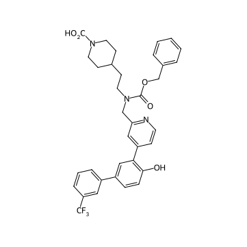 O=C(O)N1CCC(CCN(Cc2cc(-c3cc(-c4cccc(C(F)(F)F)c4)ccc3O)ccn2)C(=O)OCc2ccccc2)CC1